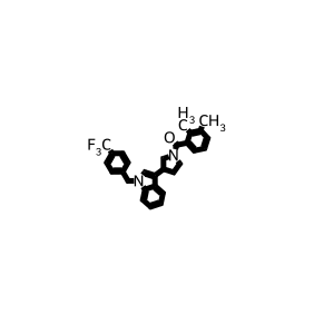 Cc1cccc(C(=O)N2CCC(c3cn(Cc4ccc(C(F)(F)F)cc4)c4ccccc34)C2)c1C